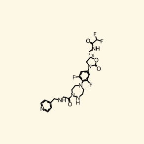 O=C(NC[C@H]1CN(c2cc(F)c(N3CCNN(C(=O)CNCc4ccncc4)CC3)c(F)c2)C(=O)O1)C(F)F